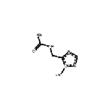 CCCn1ncnc1CNC(=O)C(C)(C)C